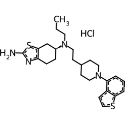 CCCN(CCC1CCN(c2cccc3sccc23)CC1)[C@H]1CCc2nc(N)sc2C1.Cl